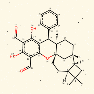 CC1(C)C[C@@H]2[C@@H]1CC[C@]13C[C@]2(C)CC[C@@H]1[C@H](c1ccccc1)c1c(O)c(C=O)c(O)c(C=O)c1O3